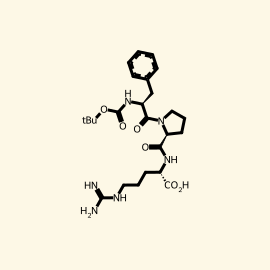 CC(C)(C)OC(=O)N[C@@H](Cc1ccccc1)C(=O)N1CCC[C@H]1C(=O)N[C@@H](CCCNC(=N)N)C(=O)O